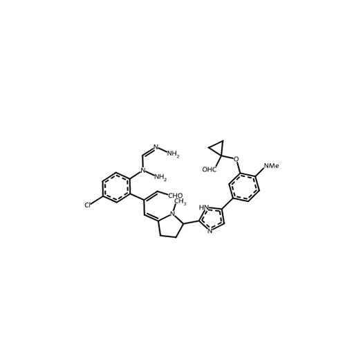 CNc1ccc(-c2cnc(C3CC/C(=C/C(=C\C=O)c4cc(Cl)ccc4N(N)/C=N\N)N3C)[nH]2)cc1OC1(C=O)CC1